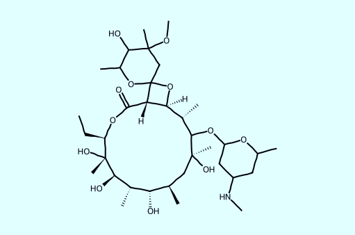 CC[C@H]1OC(=O)[C@H]2[C@@H](OC23CC(C)(OC)C(O)C(C)O3)[C@H](C)C(OC2CC(NC)CC(C)O2)[C@@](C)(O)C[C@@H](C)[C@H](O)[C@H](C)[C@@H](O)[C@]1(C)O